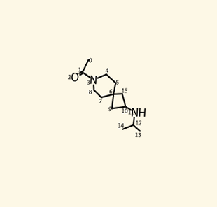 CC(=O)N1CCC2(CC1)CC(NC(C)C)C2